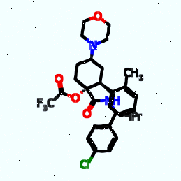 Cc1ccccc1[C@@H]1C[C@H](N2CCOCC2)CC[C@]1(OC(=O)C(F)(F)F)C(=O)NC(c1ccc(Cl)cc1)C(C)C